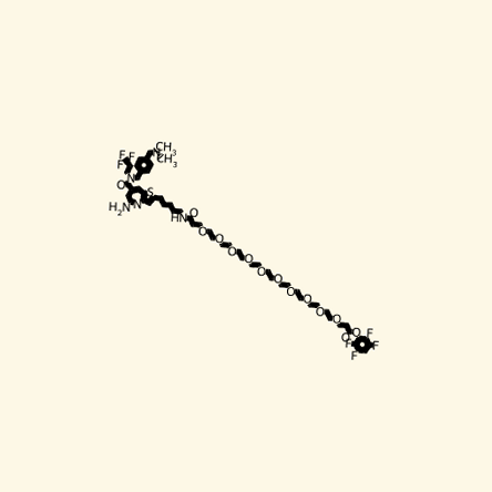 CN(C)Cc1ccc(CN(CCC(F)(F)F)C(=O)C2=Cc3sc(CCCCCNC(=O)CCOCCOCCOCCOCCOCCOCCOCCOCCOCCOCCC(=O)Oc4c(F)c(F)cc(F)c4F)cc3N=C(N)C2)cc1